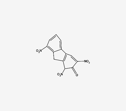 O=C1C([N+](=O)[O-])=CC2=C(Cc3c2cccc3[N+](=O)[O-])C1[N+](=O)[O-]